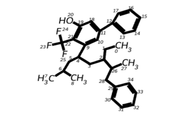 CCC(CC(CC(C)C)c1cc(-c2ccccc2)cc(O)c1C(F)(F)F)C(C)Cc1ccccc1